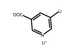 [Li+].[Li][c]1cncc(C(=O)[O-])c1